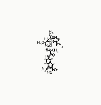 C[C](CC(=O)NC(C)C(=O)Nc1ccc2c(c1)cc(C(=O)O)n2C)C(=O)NC(C)c1nnc(C)[nH]1